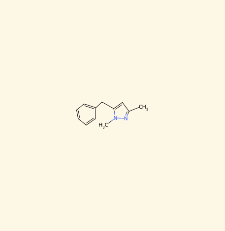 Cc1cc(Cc2ccccc2)n(C)n1